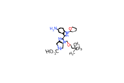 C[Si](C)(C)CCOCn1c(-c2nn(C3CCCCO3)c3ccc(N)cc23)nc2c1CN(C(=O)O)C2